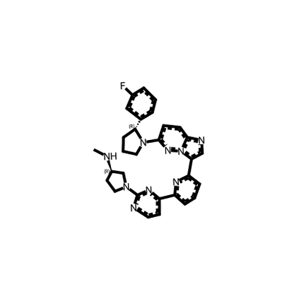 CN[C@@H]1CCN(c2nccc(-c3cccc(-c4cnc5ccc(N6CCC[C@@H]6c6cccc(F)c6)nn45)n3)n2)C1